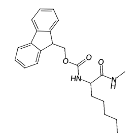 CCCCCC(NC(=O)OCC1c2ccccc2-c2ccccc21)C(=O)NC